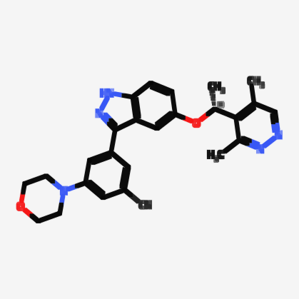 Cc1cnnc(C)c1[C@@H](C)Oc1ccc2[nH]nc(-c3cc(C#N)cc(N4CCOCC4)c3)c2c1